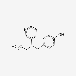 O=C(O)CC(Cc1ccc(O)cc1)c1cccnc1